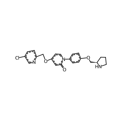 O=c1cc(OCc2ccc(Cl)cn2)ccn1-c1ccc(OC[C@H]2CCCN2)cc1